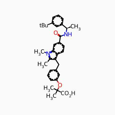 Cc1c(Cc2cccc(OC(C)(C)C(=O)O)c2)c2ccc(C(=O)N[C@H](C)c3cccc(C(C)(C)C)c3)cc2n1C